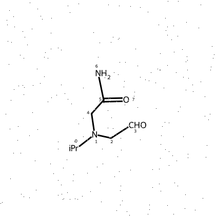 CC(C)N(CC=O)CC(N)=O